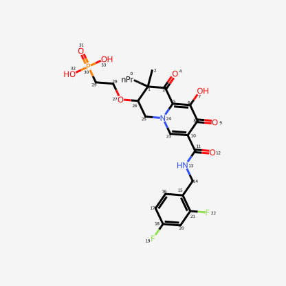 CCCC1(C)C(=O)c2c(O)c(=O)c(C(=O)NCc3ccc(F)cc3F)cn2CC1OCCP(=O)(O)O